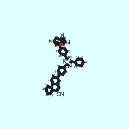 N#Cc1cc2cc(-c3ccc(-c4nc(-c5ccccc5)nc(-c5ccc(C67C[C@H]8C[C@H](C6)C[C@@H](C7)C8)cc5)n4)cc3)ccc2c2ccccc12